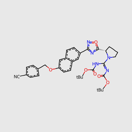 CC(C)(C)OC(=O)/N=C(\NC(=O)OC(C)(C)C)N1CCC[C@H]1c1nc(-c2ccc3cc(OCc4ccc(C#N)cc4)ccc3c2)no1